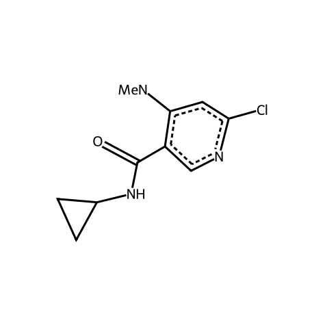 CNc1cc(Cl)ncc1C(=O)NC1CC1